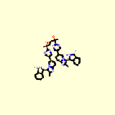 Cc1nc2ccc(-c3cnc(C(C)(O)CCC(C)(O)c4ncc(-c5ccc6nc(C)c([C@H]7N[C@H](C)c8ccccc87)n6c5)cn4)nc3)cn2c1[C@@H]1N[C@@H](C)c2ccccc21